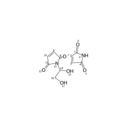 O=C1C=CC(=O)N1.O=C1C=CC(=O)N1C(O)CO